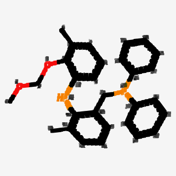 COCOc1c(C)cccc1Pc1c(C)cccc1CP(c1ccccc1)c1ccccc1